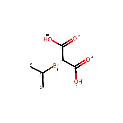 CC(C)Br.O=C(O)CC(=O)O